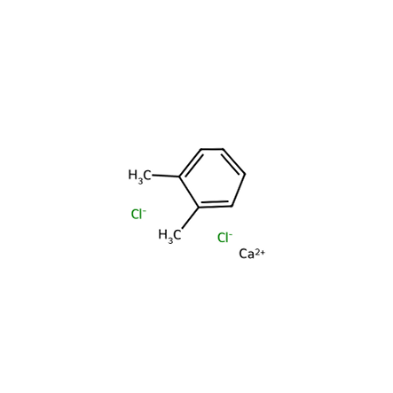 Cc1ccccc1C.[Ca+2].[Cl-].[Cl-]